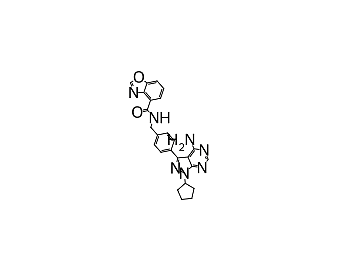 Nc1ncnc2c1c(-c1ccc(CNC(=O)c3cccc4ocnc34)cc1)nn2C1CCCC1